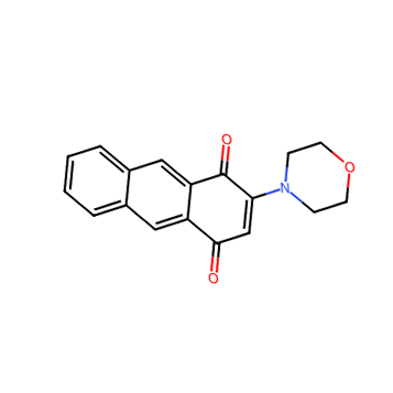 O=C1C=C(N2CCOCC2)C(=O)c2cc3ccccc3cc21